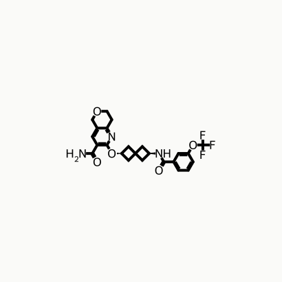 NC(=O)c1cc2c(nc1O[C@H]1CC3(C[C@H](NC(=O)c4cccc(OC(F)(F)F)c4)C3)C1)CCOC2